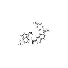 COc1ccc(CNc2cnc3ccc(N(C)[C@H]4CC[C@H](O)CC4)nc3n2)c2c(C)c[nH]c12